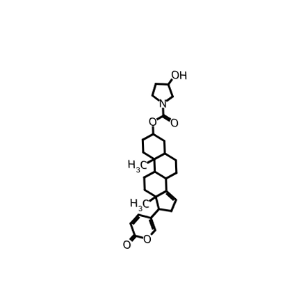 CC12CCC3C(CCC4CC(OC(=O)N5CCC(O)C5)CCC43C)C1=CCC2c1ccc(=O)oc1